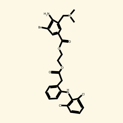 CN(C)Cc1cc(C(=O)OCCOC(=O)Cc2ccccc2Nc2c(Cl)cccc2Cl)cc(Br)c1N